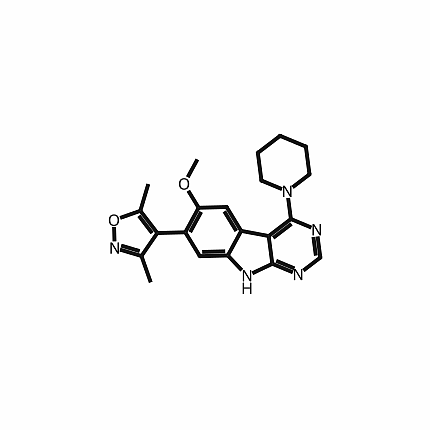 COc1cc2c(cc1-c1c(C)noc1C)[nH]c1ncnc(N3CCCCC3)c12